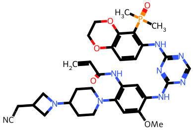 C=CC(=O)Nc1cc(Nc2ncnc(Nc3ccc4c(c3P(C)(C)=O)OCCO4)n2)c(OC)cc1N1CCC(N2CC(CC#N)C2)CC1